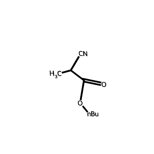 CCCCOC(=O)C(C)C#N